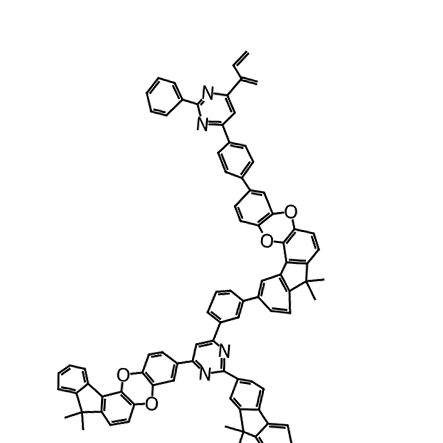 C=CC(=C)c1cc(-c2ccc(-c3ccc4c(c3)Oc3ccc5c(c3O4)-c3cc(-c4cccc(-c6cc(-c7ccc8c(c7)Oc7ccc9c(c7O8)-c7ccccc7C9(C)C)nc(-c7ccc8c(c7)C(C)(C)c7ccccc7-8)n6)c4)ccc3C5(C)C)cc2)nc(-c2ccccc2)n1